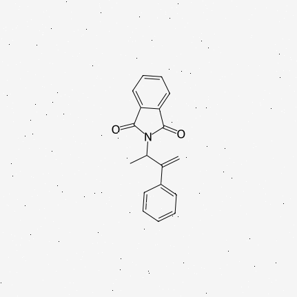 C=C(c1ccccc1)C(C)N1C(=O)c2ccccc2C1=O